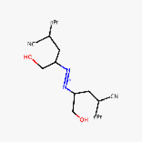 CCCC(C#N)CC(CO)/N=N/C(CO)CC(C#N)CCC